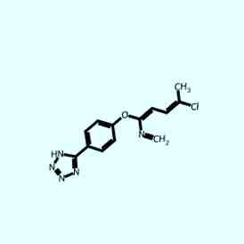 C=N/C(=C\C=C(/C)Cl)Oc1ccc(-c2nnn[nH]2)cc1